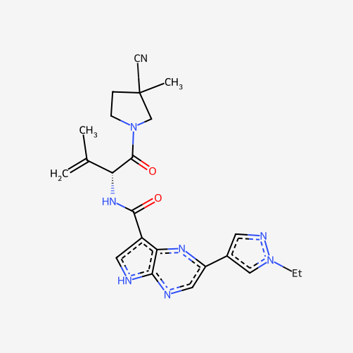 C=C(C)[C@@H](NC(=O)c1c[nH]c2ncc(-c3cnn(CC)c3)nc12)C(=O)N1CCC(C)(C#N)C1